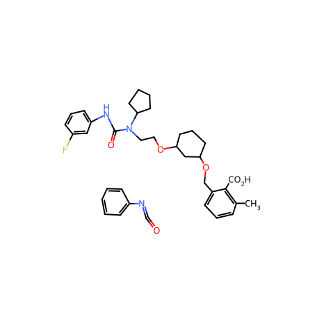 Cc1cccc(COC2CCCC(OCCN(C(=O)Nc3cccc(F)c3)C3CCCC3)C2)c1C(=O)O.O=C=Nc1ccccc1